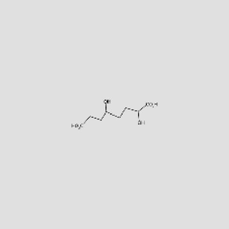 O=C(O)CCC(O)CCC(O)C(=O)O